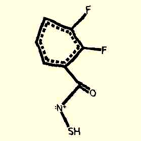 O=C([N+]S)c1cccc(F)c1F